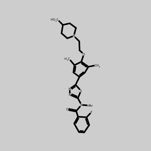 CCCCN(C(=O)c1ccccc1F)c1nnc(-c2cc(C)c(OCCN3CCC(C(=O)O)CC3)c(C)c2)s1